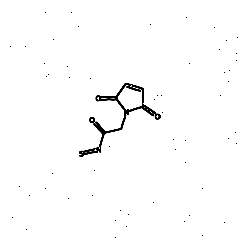 O=C(CN1C(=O)C=CC1=O)N=S